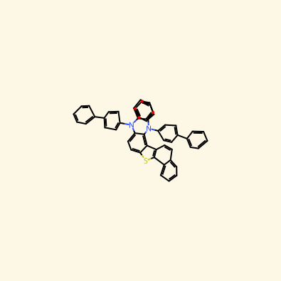 c1ccc(-c2ccc(N(c3ccccc3)c3ccc4sc5c6ccccc6ccc5c4c3N(c3ccccc3)c3ccc(-c4ccccc4)cc3)cc2)cc1